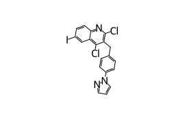 Clc1nc2ccc(I)cc2c(Cl)c1Cc1ccc(-n2cccn2)cc1